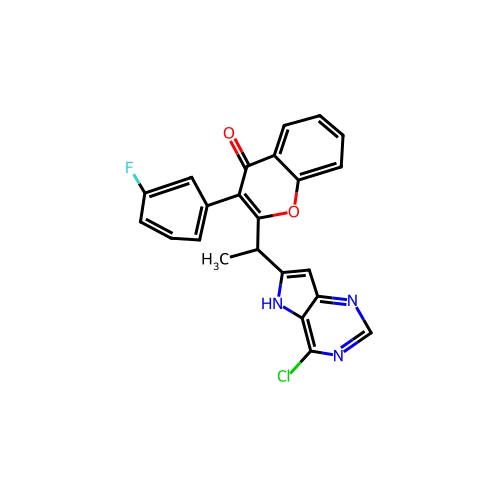 CC(c1cc2ncnc(Cl)c2[nH]1)c1oc2ccccc2c(=O)c1-c1cccc(F)c1